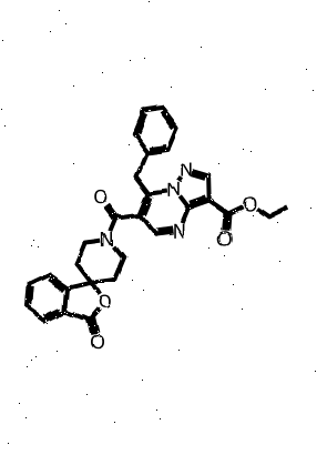 CCOC(=O)c1cnn2c(Cc3ccccc3)c(C(=O)N3CCC4(CC3)OC(=O)c3ccccc34)cnc12